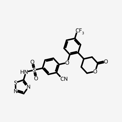 N#Cc1cc(S(=O)(=O)Nc2ncns2)ccc1Oc1ccc(C(F)(F)F)cc1C1CCOC(=O)C1